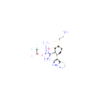 NCCS(=O)(=O)c1ccc(-c2cnn3c2CCC3)c(-c2nnn[nH]2)c1S(N)(=O)=O.O=C(O)C(F)(F)F